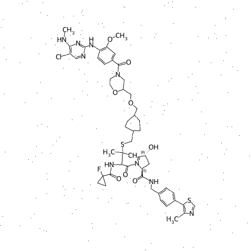 CNc1nc(Nc2ccc(C(=O)N3CCOC(COCC4CCC(CSC(C)(C)C(NC(=O)C5(F)CC5)C(=O)N5C[C@H](O)C[C@H]5C(=O)NCc5ccc(-c6scnc6C)cc5)CC4)C3)cc2OC)ncc1Cl